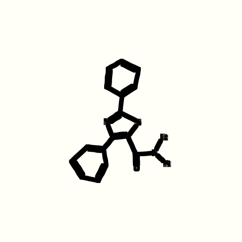 CCN(CC)C(=O)c1sc(-c2ccccc2)nc1-c1ccccc1